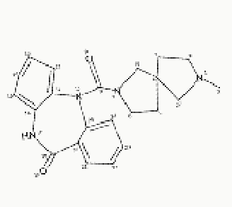 CN1CCC2(CCN(C(=O)N3c4ccccc4NC(=O)c4ccccc43)C2)C1